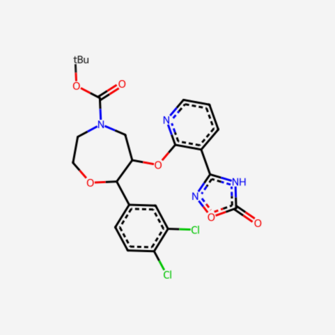 CC(C)(C)OC(=O)N1CCOC(c2ccc(Cl)c(Cl)c2)C(Oc2ncccc2-c2noc(=O)[nH]2)C1